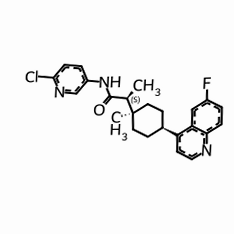 C[C@H](C(=O)Nc1ccc(Cl)nc1)[C@]1(C)CC[C@H](c2ccnc3ccc(F)cc32)CC1